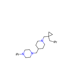 CC(C)CC1(CN2CCC(CN3CCN(C(C)C)CC3)CC2)CC1